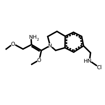 COC/C(N)=C(\OC)N1CCc2ccc(CNCl)cc2C1